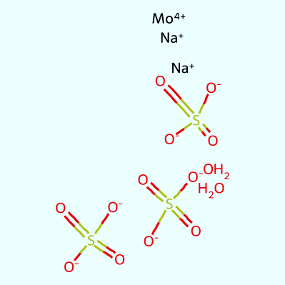 O.O.O=S(=O)([O-])[O-].O=S(=O)([O-])[O-].O=S(=O)([O-])[O-].[Mo+4].[Na+].[Na+]